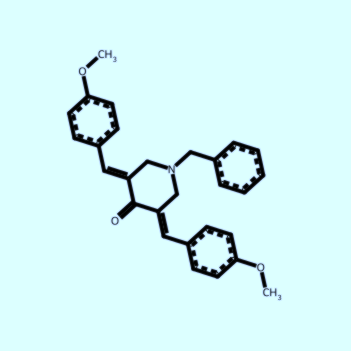 COc1ccc(C=C2CN(Cc3ccccc3)CC(=Cc3ccc(OC)cc3)C2=O)cc1